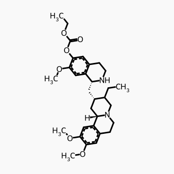 CCOC(=O)Oc1cc2c(cc1OC)[C@@H](C[C@H]1C[C@H]3c4cc(OC)c(OC)cc4CCN3CC1CC)NCC2